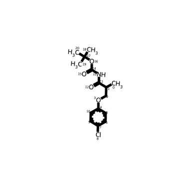 CC(COc1ccc(Cl)cc1)C(=O)NC(=O)OC(C)(C)C